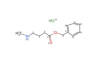 CNCCCC(=O)OCc1ccccc1.Cl